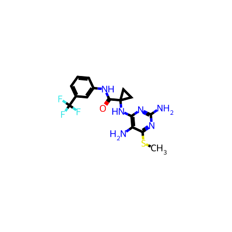 CSc1nc(N)nc(NC2(C(=O)Nc3cccc(C(F)(F)F)c3)CC2)c1N